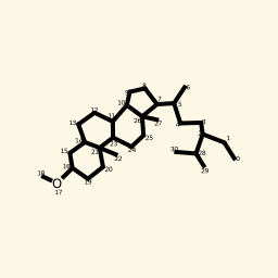 CCC(CCC(C)C1CCC2C3CCC4CC(OC)CCC4(C)C3CCC12C)C(C)C